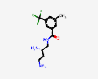 Cc1cc(C(=O)NC[C@@H](N)CCN)cc(C(F)(F)F)c1